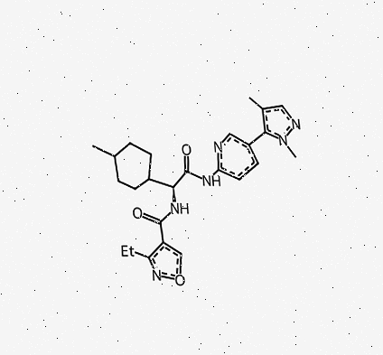 CCc1nocc1C(=O)N[C@H](C(=O)Nc1ccc(-c2c(C)cnn2C)cn1)C1CCC(C)CC1